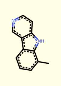 Cc1cccc2c1[nH]c1ccncc12